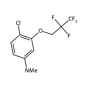 CNc1ccc(Cl)c(OCC(F)(F)C(F)(F)F)c1